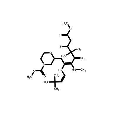 C=C(/C(NC)=C(\C[C@H]1CN(C(=O)OC)CCO1)N/C=C\C(C)(C)C)C(C)(C)[C@@H](F)CC(=O)OC